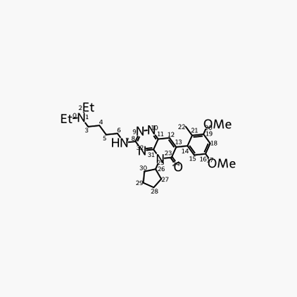 CCN(CC)CCCCNc1nnc2cc(-c3cc(OC)cc(OC)c3C)c(=O)n(C3CCCC3)c2n1